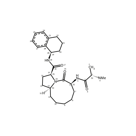 CN[C@@H](C)C(=O)N[C@H]1CCCCC[C@H]2CC[C@@H](C(=O)N[C@@H]3CCCc4ccccc43)N2C1=O